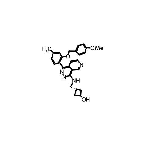 COc1ccc(COc2cc(C(F)(F)F)ccc2-c2nnc(NC[C@H]3C[C@H](O)C3)c3cnccc23)cc1